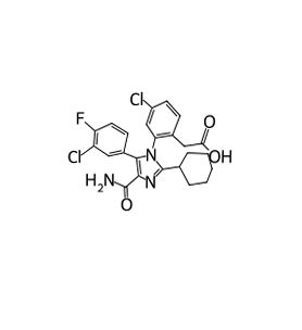 NC(=O)c1nc(C2CCCCC2)n(-c2cc(Cl)ccc2CC(=O)O)c1-c1ccc(F)c(Cl)c1